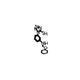 Sc1nnnn1-c1cccc(NCOC2CCCCC2)c1